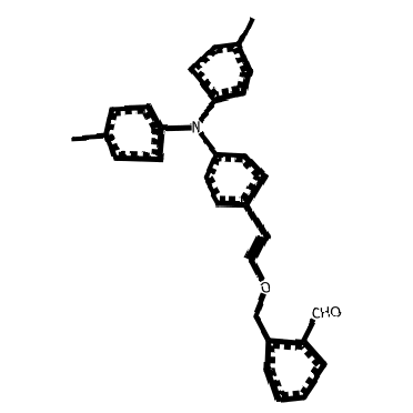 Cc1ccc(N(c2ccc(C)cc2)c2ccc(C=COCc3ccccc3C=O)cc2)cc1